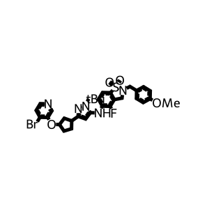 COc1ccc(CN2Cc3c(ccc(Nc4cc(C5CCC(Oc6cnccc6Br)C5)nn4C(C)(C)C)c3F)S2(=O)=O)cc1